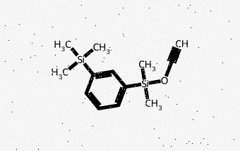 C#CO[Si](C)(C)c1cccc([Si](C)(C)C)c1